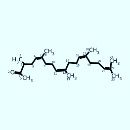 CC(=O)C(C)CC=C(C)CCC=C(C)CCC=C(C)CCC=C(C)C